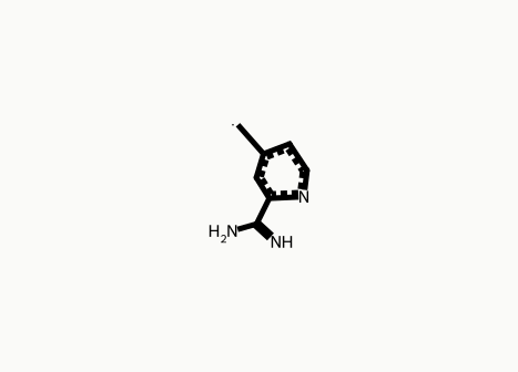 [CH2]c1ccnc(C(=N)N)c1